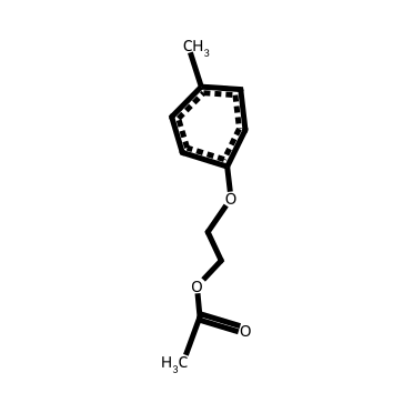 CC(=O)OCCOc1ccc(C)cc1